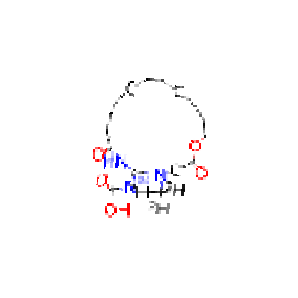 [2H]C([2H])([2H])N1CC(=O)OCCCCCCCCCCC(=O)N/C1=N\C(=O)O